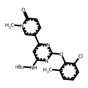 CCCCNc1cc(-c2ccc(=O)n(C)c2)nc(Oc2c(C)cccc2Cl)n1